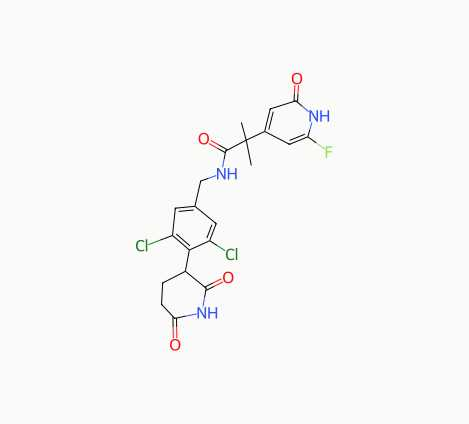 CC(C)(C(=O)NCc1cc(Cl)c(C2CCC(=O)NC2=O)c(Cl)c1)c1cc(F)[nH]c(=O)c1